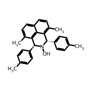 Cc1ccc([C@H]2c3c(C)ccc4ccc(C)c(c34)[C@H](c3ccc(C)cc3)N2O)cc1